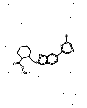 CC(C)(C)OC(=O)N1CCCCC1Cn1cc2ccc(-c3cncc(Br)n3)cc2n1